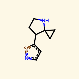 c1cc(C2CCNC23CC3)sn1